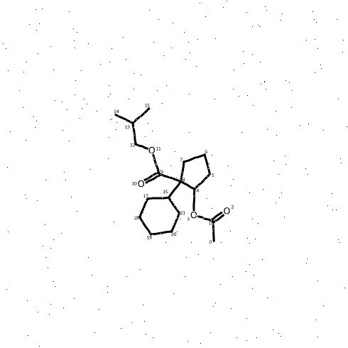 CC(=O)OC1CCCC1(C(=O)OCC(C)C)C1CCCCC1